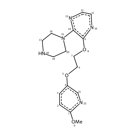 COc1ccc(OCCOc2nccnc2N2CCNCC2)cn1